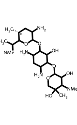 CNC(C)C1OC(OC2C(N)CC(N)C(OC3OCC(C)(O)C(NC)C3O)C2O)C(N)C[C@H]1C